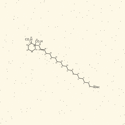 CCCCCCCCCCCCCCCCCCCCCCCCCCCC=CCC1(C(=O)O)CCCCC1C(=O)O